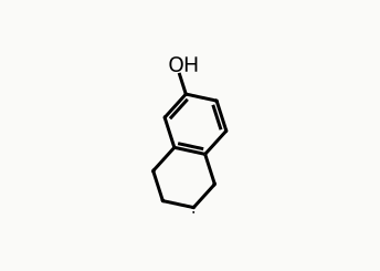 Oc1ccc2c(c1)CC[CH]C2